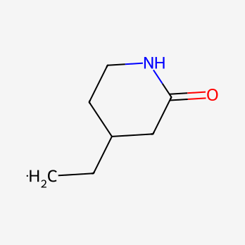 [CH2]CC1CCNC(=O)C1